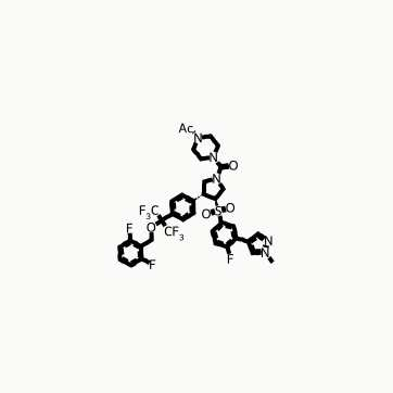 CC(=O)N1CCN(C(=O)N2C[C@@H](S(=O)(=O)c3ccc(F)c(-c4cnn(C)c4)c3)[C@H](c3ccc(C(OCc4c(F)cccc4F)(C(F)(F)F)C(F)(F)F)cc3)C2)CC1